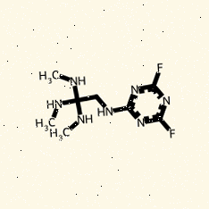 CNC(CNc1nc(F)nc(F)n1)(NC)NC